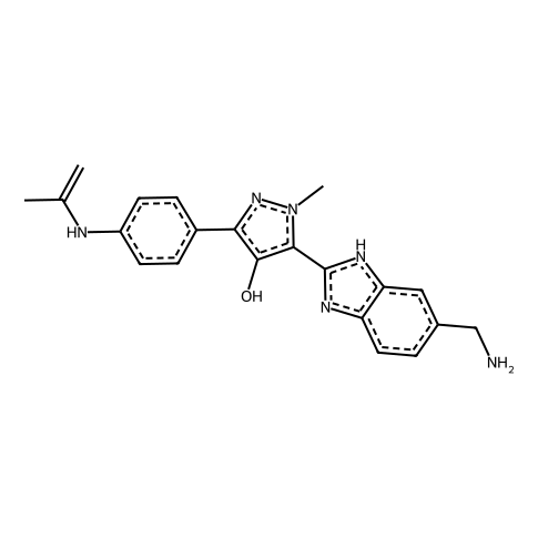 C=C(C)Nc1ccc(-c2nn(C)c(-c3nc4ccc(CN)cc4[nH]3)c2O)cc1